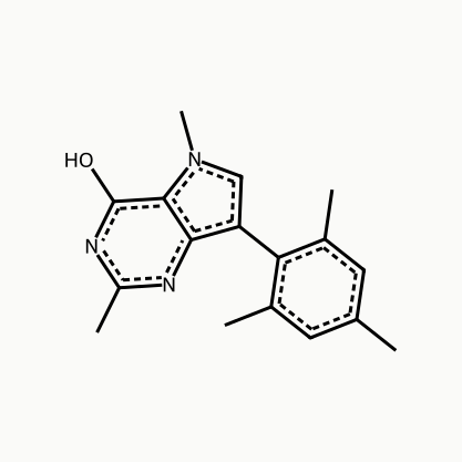 Cc1cc(C)c(-c2cn(C)c3c(O)nc(C)nc23)c(C)c1